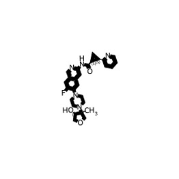 C[C@]1(N2CCN(c3cc4cc(NC(=O)[C@H]5C[C@@H]5c5ccccn5)ncc4cc3F)CC2)COC[C@H]1O